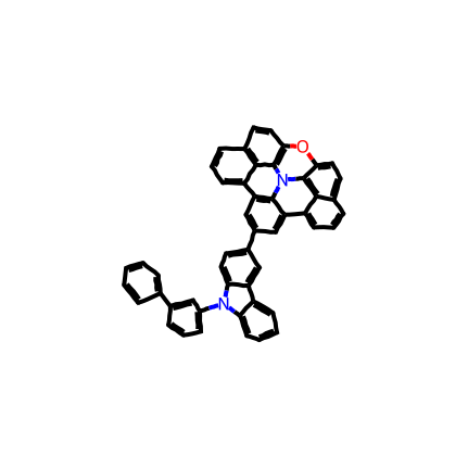 c1ccc(-c2cccc(-n3c4ccccc4c4cc(-c5cc6c7cccc8ccc9oc%10ccc%11cccc%12c(c5)c6n(c9c87)c%10c%11%12)ccc43)c2)cc1